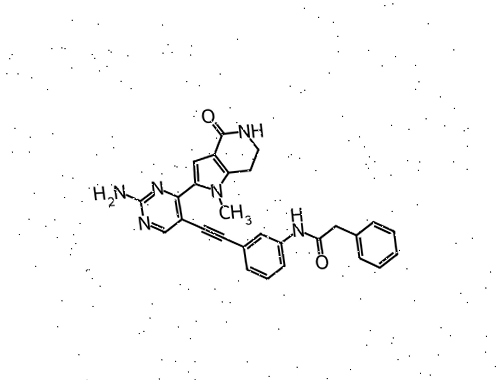 Cn1c(-c2nc(N)ncc2C#Cc2cccc(NC(=O)Cc3ccccc3)c2)cc2c1CCNC2=O